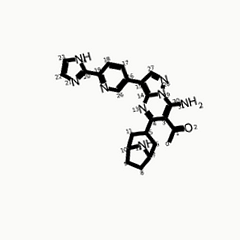 CC(=O)c1c(C2CC3CCC(C2)N3)nc2c(-c3ccc(-c4ncc[nH]4)nc3)cnn2c1N